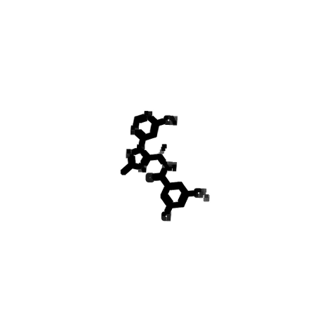 Cc1nc([C@H](C)NC(=O)c2cc(Cl)cc(C(F)(F)F)c2)n(-c2cc(C#N)ncn2)n1